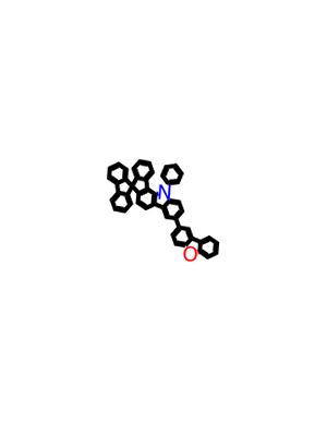 c1ccc(-n2c3ccc(-c4ccc5oc6ccccc6c5c4)cc3c3ccc4c(c32)-c2ccccc2C42c3ccccc3-c3ccccc32)cc1